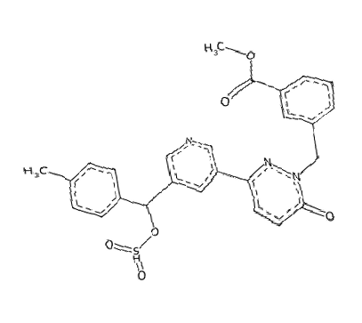 COC(=O)c1cccc(Cn2nc(-c3cncc(C(O[SH](=O)=O)c4ccc(C)cc4)c3)ccc2=O)c1